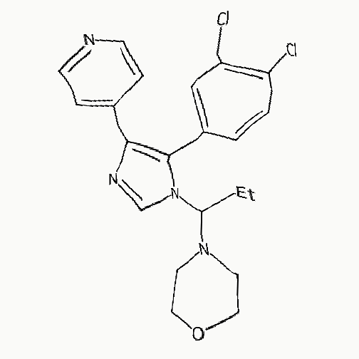 CCC(N1CCOCC1)n1cnc(-c2ccncc2)c1-c1ccc(Cl)c(Cl)c1